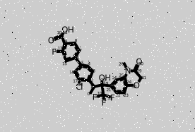 CC(c1ccc(-c2ccc(C(=O)O)c(F)c2)cc1Cl)C(O)(c1ccc2c(c1)N(C)C(=O)CO2)C(F)(F)F